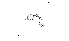 OCC1CC1Oc1ccc(I)cc1